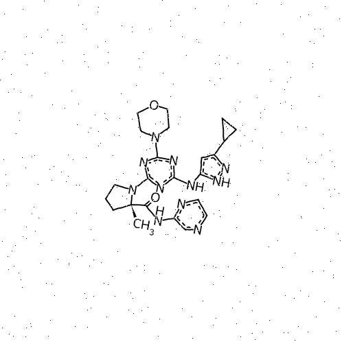 C[C@@]1(C(=O)Nc2cnccn2)CCCN1c1nc(Nc2cc(C3CC3)n[nH]2)nc(N2CCOCC2)n1